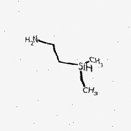 C[SiH](C)CCN